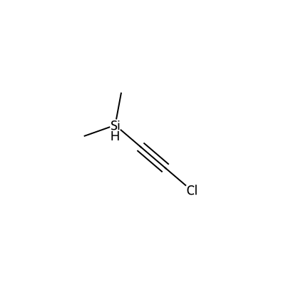 C[SiH](C)C#CCl